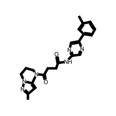 Cc1cccc(-c2cnc(NC(=O)CCC(=O)N3CCCn4nc(C)cc43)cn2)c1